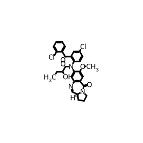 CCC(O)C(=O)N(c1cc2c(cc1OC)C(=O)N1CCC[C@H]1C=N2)c1ccc(Cl)cc1C(=O)c1ccccc1Cl